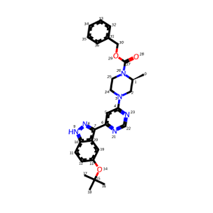 C[C@H]1CN(c2cc(-c3n[nH]c4ccc(OC(C)(C)C)cc34)ncn2)CCN1C(=O)OCc1ccccc1